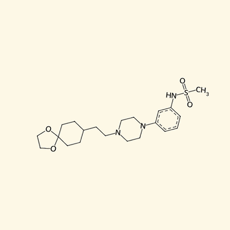 CS(=O)(=O)Nc1cccc(N2CCN(CCC3CCC4(CC3)OCCO4)CC2)c1